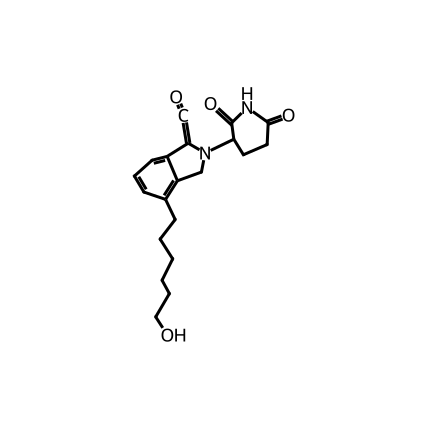 O=C=C1c2cccc(CCCCCCO)c2CN1C1CCC(=O)NC1=O